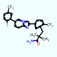 CC(C)(Cc1cc(-c2cn3cc(-c4cc(C(F)(F)F)ccc4F)ccc3n2)ccc1C(F)(F)F)C(N)=O